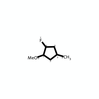 COC1CC(C)CC1F